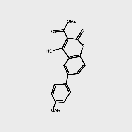 COC(=O)c1c(O)c2cc(-c3ccc(OC)cc3)ccc2sc1=O